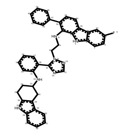 Fc1ccc2[nH]c3c(NCCn4ncnc4-c4ccccc4NC4CCc5[nH]c6ccccc6c5C4)c(-c4ccccc4)ccc3c2c1